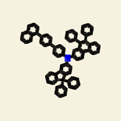 c1ccc(-c2c(-c3ccccc3)c3cc(N(c4ccc(-c5ccc(-c6cccc7ccccc67)cc5)cc4)c4ccc5c(c4)-c4ccccc4C5(c4ccccc4)c4ccccc4)ccc3c3ccccc23)cc1